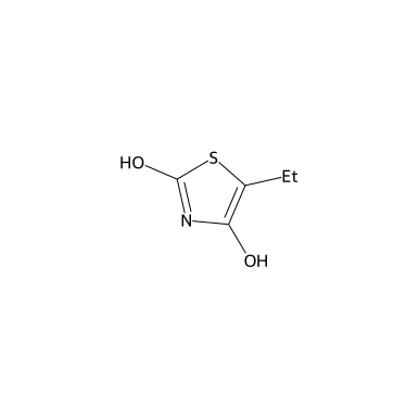 CCc1sc(O)nc1O